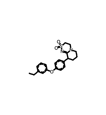 CCc1cccc(Oc2ccc(C3CCCN4CCS(=O)(=O)N=C34)cc2)c1